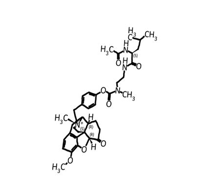 COc1ccc2c3c1O[C@H]1C(=O)CC[C@H]4C(C2)[N@@+](C)(Cc2ccc(OC(=O)N(C)CCNC(=O)[C@H](CC(C)C)NC(C)=O)cc2)CC[C@]314